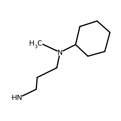 CN(CCC[NH])C1CCCCC1